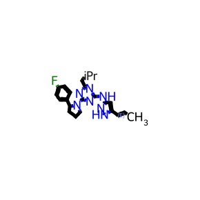 C/C=C/c1cc(Nc2nc(CC(C)C)nc(N3CCCC3c3ccc(F)cc3)n2)n[nH]1